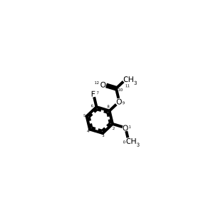 COc1cccc(F)c1OC(C)=O